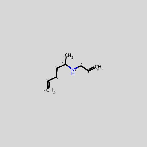 C=CCCC(C)NCC=C